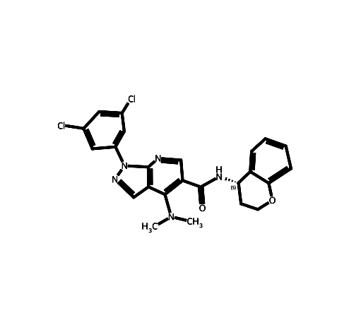 CN(C)c1c(C(=O)N[C@H]2CCOc3ccccc32)cnc2c1cnn2-c1cc(Cl)cc(Cl)c1